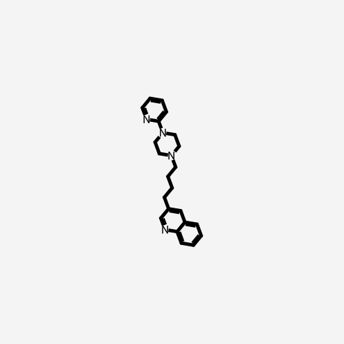 c1ccc(N2CCN(CCCCc3cnc4ccccc4c3)CC2)nc1